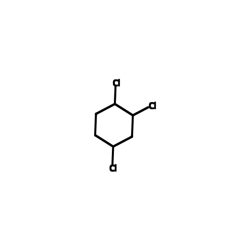 ClC1CCC(Cl)C(Cl)C1